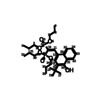 CCCOP(=O)(OCCC)C(=Cc1cc(C(C)(C)C)c(O)c2ccccc12)P(=O)(OCCC)OCCC